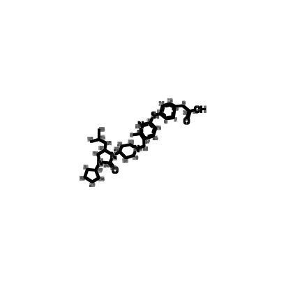 Cc1nc(Sc2ccc(CC(=O)O)cc2)ccc1CN1CCC(N2C(=O)N(C3CCCC3)CC2CC(C)C)CC1